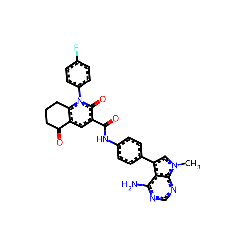 Cn1cc(-c2ccc(NC(=O)c3cc4c(n(-c5ccc(F)cc5)c3=O)CCCC4=O)cc2)c2c(N)ncnc21